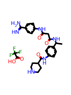 CC(NC(=O)CC(=O)Nc1ccc(C(=N)N)cc1)c1ccc(NC(=O)C2CCNCC2)cc1.O=C(O)C(F)(F)F